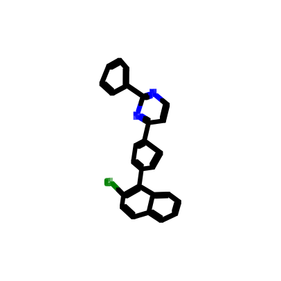 Clc1ccc2ccccc2c1-c1ccc(-c2ccnc(-c3ccccc3)n2)cc1